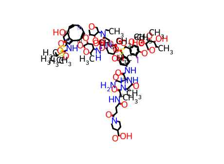 CCN(C(=O)CNC(=O)OCc1ccc(NC(=O)[C@H](CC(N)=O)NC(=O)[C@H](C)NC(=O)[C@H](C)NC(=O)CCC(=O)N2CCC(C(=O)O)CC2)cc1)C1COCC(OC2C(O[C@H]3C#C/C=C\C#C[C@]4(O)CC(=O)C(NC(=O)OC)=C3/C4=C\CSSC(C)(C)C)OC(C)C(NOC3CC(O)C(SC(=O)c4c(C)c(I)c(OC5OC(C)C(O)C(OC)C5O)c(OC)c4OC)C(C)O3)C2O)C1OC